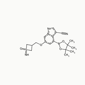 CC1(C)OB(c2cc(OCC3CS(=N)(=O)C3)cn3ncc(C#N)c23)OC1(C)C